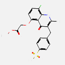 COC(=O)COc1ccc(Cl)c2[nH]c(C)c(Cc3ccc(S(C)(=O)=O)cc3)c(=O)c12